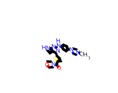 CN1CCN(c2ccc(Nc3nc(-c4ccc(C(=O)N5CCOCC5)s4)c4cc[nH]c4n3)cc2)CC1